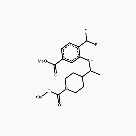 COC(=O)c1ccc(C(F)F)c(NC(C)C2CCN(C(=O)OC(C)(C)C)CC2)c1